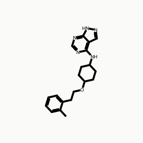 Cc1ccccc1CCOC1CCC(Nc2ncnc3[nH]ncc23)CC1